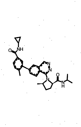 Cc1ccc(C(=O)NC2CC2)cc1-c1ccc2c(N3[C@H](C)CC[C@@H]3C(=O)NC(C)C)nncc2c1